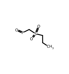 CCCS(=O)(=O)CP=O